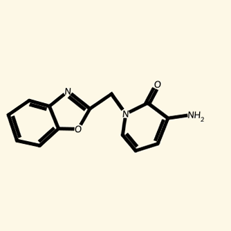 Nc1cccn(Cc2nc3ccccc3o2)c1=O